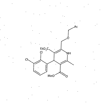 CCOC(=O)C1=C(COCC(C)=O)NC(C)=C(C(=O)OC)C1c1cccc(Cl)c1Cl